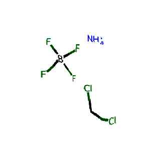 ClCCl.F[B-](F)(F)F.[NH4+]